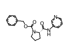 O=C(Nc1cccnc1)[C@@H]1CCCN1C(=O)OCc1ccccc1